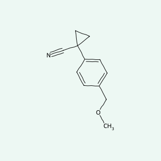 COCc1ccc(C2(C#N)CC2)cc1